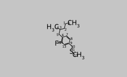 CCCC(C)Cc1ccc(CSC)cc1F